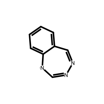 C1=NN=Cc2ccccc2[N]1